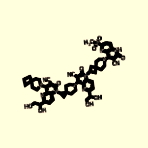 CS(=O)(=O)c1ccc2[nH]c(=O)c(C#N)c(N3CCC4(CC3)CC(n3c(=O)c(C#N)c(N5CCC6(CC5)CC6n5c(=O)c(C#N)c(N6CCC7(CCC7)CC6)c6nc(C(O)CO)ccc65)c5nc(C(O)CO)ccc53)C4)c2n1